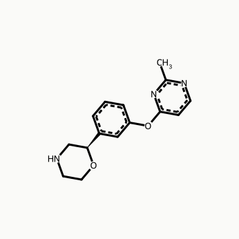 Cc1nccc(Oc2cccc([C@@H]3CNCCO3)c2)n1